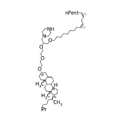 CCCCC/C=C\C/C=C\CCCCCCCCOCC(CN1CCNCC1)OCCOCCO[C@H]1CC[C@@]2(C)C(=CCC3C2CC[C@]2(C)[C@H](C(C)CCCC(C)C)CC[C@@H]32)C1